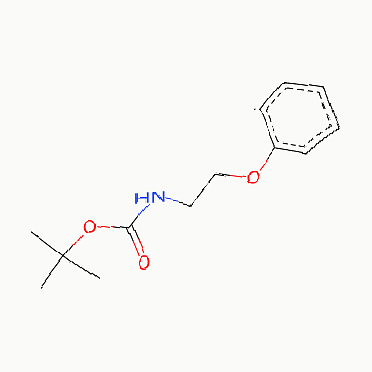 CC(C)(C)OC(=O)NCCOc1[c]cccc1